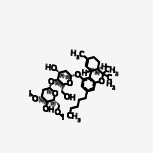 CCCCCc1cc(O[C@H]2C[C@@H](O)[C@H](O[C@H]3C[C@@H](OI)[C@H](O)[C@@H](COI)O3)[C@@H](CO)O2)c2c(c1)OC(C)(C)[C@@H]1CCC(C)=C[C@@H]21